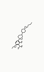 CCCCOC1CCC(C2CCC(c3ccc(OCC)c(C(F)F)c3F)OC2)CC1